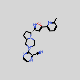 Cc1cccc(-c2cc([C@H]3CCC4CN(c5nccnc5C#N)CCN43)no2)n1